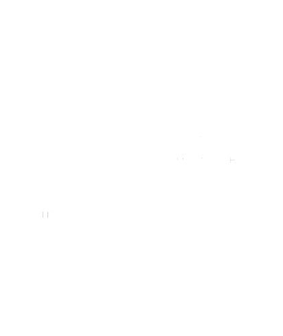 C#CCOc1cccc(COS(C)(=O)=O)c1